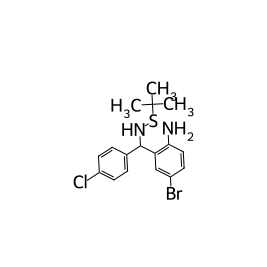 CC(C)(C)SNC(c1ccc(Cl)cc1)c1cc(Br)ccc1N